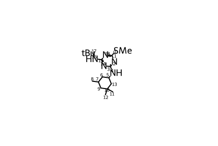 CSc1nc(NC2CC(C)CC(C)(C)C2)nc(NC(C)(C)C)n1